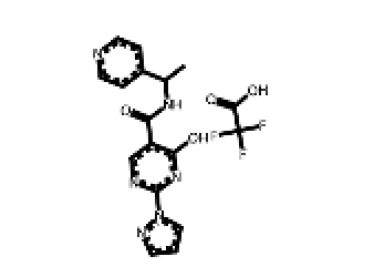 CC(NC(=O)c1cnc(-n2cccn2)nc1O)c1ccncc1.O=C(O)C(F)(F)F